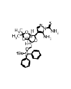 CC1(C)O[C@@H]2[C@@H](CO[Si](c3ccccc3)(c3ccccc3)C(C)(C)C)OC(c3cnn(C(N)=S)c3N)[C@@H]2O1